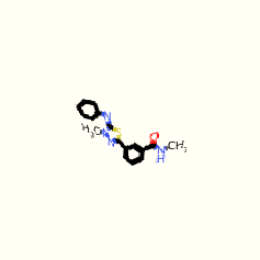 CNC(=O)c1cccc(-c2nn(C)/c(=N\C3CCCCC3)s2)c1